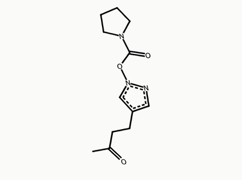 CC(=O)CCc1cnn(OC(=O)N2CCCC2)c1